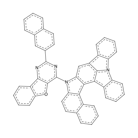 c1ccc2cc(-c3nc(-n4c5ccc6ccccc6c5c5c6c7ccccc7n7c8ccccc8c(cc54)c67)c4oc5ccccc5c4n3)ccc2c1